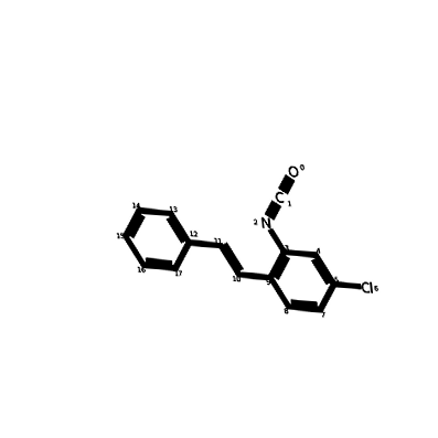 O=C=Nc1cc(Cl)ccc1C=Cc1ccccc1